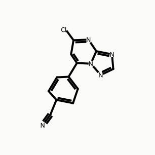 N#Cc1ccc(-c2cc(Cl)nc3ncnn23)cc1